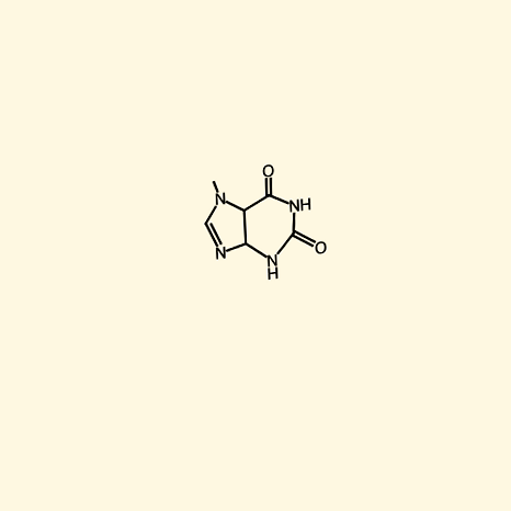 CN1C=NC2NC(=O)NC(=O)C21